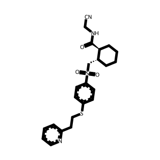 N#CCNC(=O)[C@H]1CCCC[C@@H]1CS(=O)(=O)c1ccc(SCCc2ccccn2)cc1